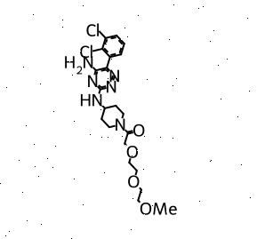 COCCOCCOCC(=O)N1CCC(Nc2nnc(-c3cccc(Cl)c3Cl)c(N)n2)CC1